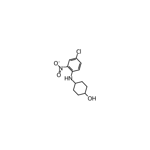 O=[N+]([O-])c1cc(Cl)ccc1NC1CCC(O)CC1